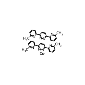 Cc1cccc(-c2ccc(-c3cccc(C)n3)nn2)n1.Cc1cccc(-c2ccc(-c3cccc(C)n3)nn2)n1.[Cu]